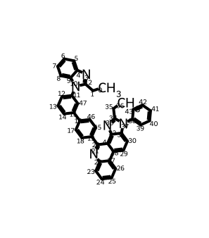 CCc1nc2ccccc2n1-c1cccc(-c2ccc(-c3nc4ccccc4c4ccc5c(nc(CC)n5-c5ccccc5)c34)cc2)c1